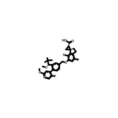 COc1cc(-c2ccc(COc3cc(F)c4c(c3F)[C@]3(CC4)C[C@H]3C(=O)O)cc2[C@H](OC)C(C)(C)C)c(F)cn1